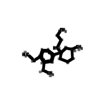 CCCNC1(c2ccc(OC)c(OC)c2)CCCN(C)C1